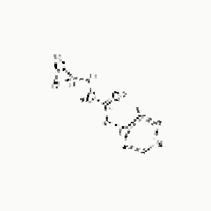 O=C(Cc1ccccc1)OCC1CO1